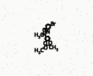 CCOC(=O)C(C)Oc1ccc(N(C)c2nc3cc(Br)ccc3o2)cc1